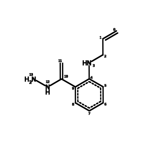 C=CCNc1ccccc1C(=C)NN